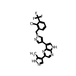 Cc1[nH]ncc1-c1cnc2[nH]cc(-c3cnn(Cc4cccc(C(F)(F)F)c4Cl)c3)c2n1